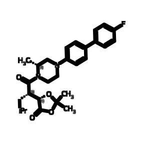 CC(C)C[C@H](C(=O)N1CCN(c2ccc(-c3ccc(F)cc3)cc2)C[C@H]1C)[C@@H]1OC(C)(C)OC1=O